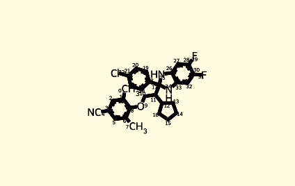 Cc1cc(C#N)cc(C)c1OCC(C1CCCC1)C1(c2ccc(Cl)cc2)Nc2cc(F)c(F)cc2N1